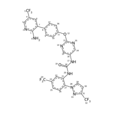 Nc1ncc(C(F)(F)F)cc1-c1ccc(Oc2ncc(NC(=O)Nc3cc(C(F)(F)F)ccc3-n3ccc(C(F)(F)F)n3)cn2)cc1